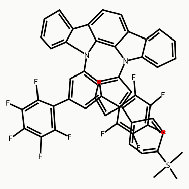 CS(C)(C)c1ccc(-c2cccc(-n3c4ccccc4c4ccc5c6ccccc6n(-c6cc(-c7c(F)c(F)c(F)c(F)c7F)cc(-c7c(F)c(F)c(F)c(F)c7F)c6)c5c43)c2)cc1